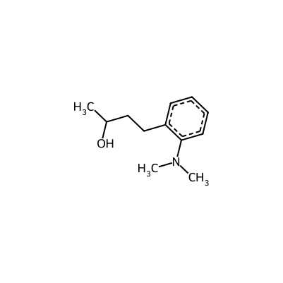 CC(O)CCc1ccccc1N(C)C